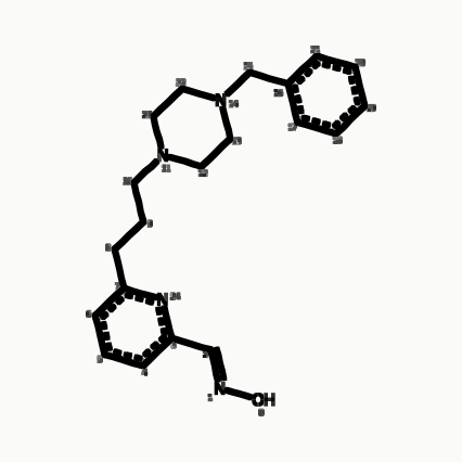 ON=Cc1cccc(CCCN2CCN(Cc3ccccc3)CC2)n1